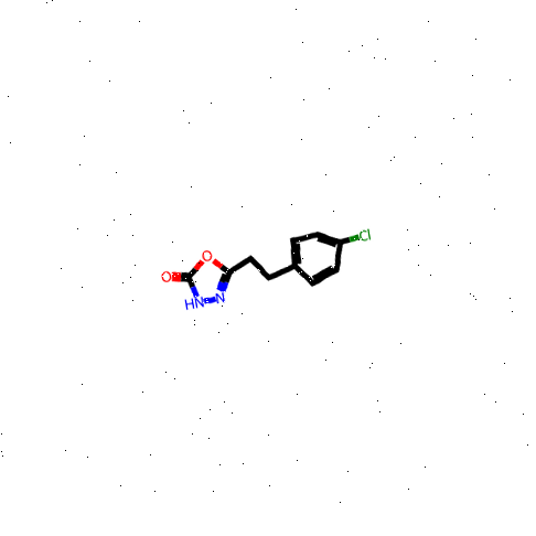 O=c1[nH]nc(CCc2ccc(Cl)cc2)o1